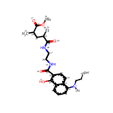 CCCCCCCCCCCCN(C(C)=O)c1cccc2c(O)c(C(=O)NCCNC(=O)C(CC)CC(C)C(=O)OCCCC)ccc12